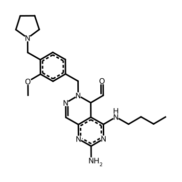 CCCCNc1nc(N)nc2c1C(C=O)N(Cc1ccc(CN3CCCC3)c(OC)c1)N=C2